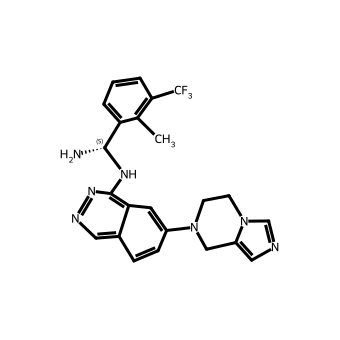 Cc1c([C@@H](N)Nc2nncc3ccc(N4CCn5cncc5C4)cc23)cccc1C(F)(F)F